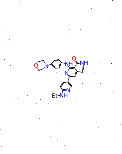 CCNc1ccc(-c2cc3cc[nH]c(=O)c3c(Nc3ccc(N4CCOCC4)cc3)n2)cn1